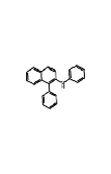 c1ccc(Nc2ccc3ccccc3c2-c2ccccc2)cc1